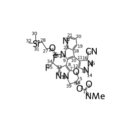 CNC(=O)O[C@@H]1COc2c(-c3c(-c4cn(C)nc4C#N)c4cccnc4n3COCC[Si](C)(C)C)c(C(F)F)nn2C1